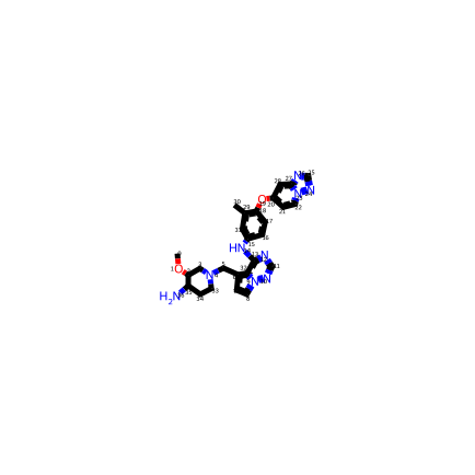 COC1CN(Cc2ccn3ncnc(Nc4ccc(Oc5ccn6ncnc6c5)c(C)c4)c23)CCC1N